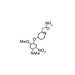 CNc1cc(OC)c(Oc2ccnc(CC(N)=O)c2)cc1[N+](=O)[O-]